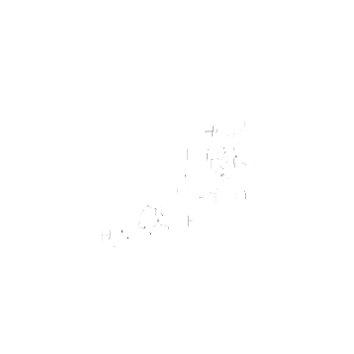 Nc1ccn([C@@H]2O[C@](CCF)(COP(=O)(O)OP(=O)(O)OP(=O)(O)O)[C@@H](O)[C@H]2F)c(=O)n1